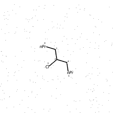 C[CH]CCC(Cl)CCCC